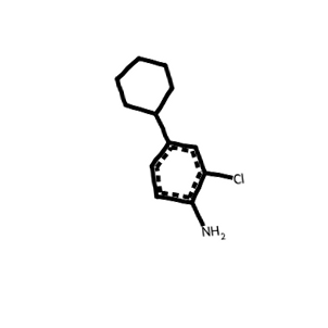 Nc1ccc(C2CCCCC2)cc1Cl